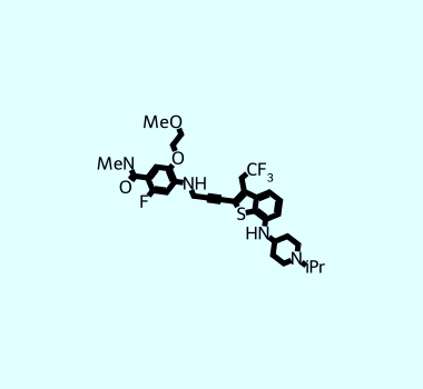 CNC(=O)c1cc(OCCOC)c(NCC#Cc2sc3c(NC4CCN(C(C)C)CC4)cccc3c2CC(F)(F)F)cc1F